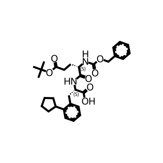 CC(C)(C)OC(=O)CC[C@H](NC(=O)OCc1ccccc1)C(=O)N[C@@H](Cc1ccccc1C1CCCC1)C(=O)O